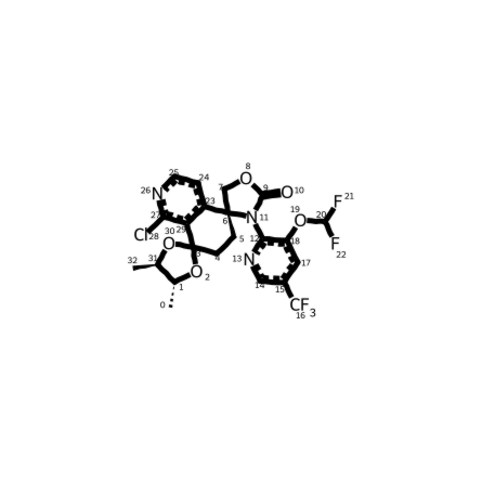 C[C@H]1OC2(CC[C@]3(COC(=O)N3c3ncc(C(F)(F)F)cc3OC(F)F)c3ccnc(Cl)c32)O[C@@H]1C